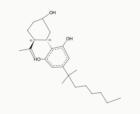 C=C(C)[C@H]1CCC(O)C[C@@H]1c1c(O)cc(C(C)(C)CCCCCC)cc1O